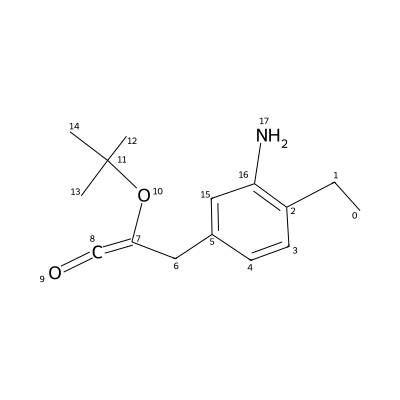 CCc1ccc(CC(=C=O)OC(C)(C)C)cc1N